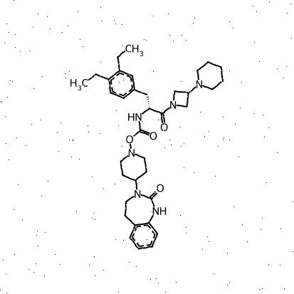 CCc1ccc(C[C@@H](NC(=O)ON2CCC(N3CCc4ccccc4NC3=O)CC2)C(=O)N2CC(N3CCCCC3)C2)cc1CC